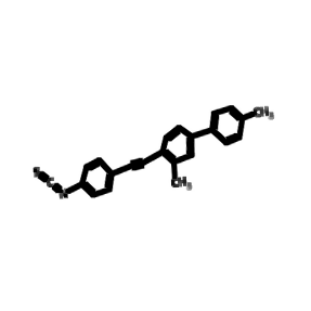 Cc1ccc(-c2ccc(C#Cc3ccc(N=C=S)cc3)c(C)c2)cc1